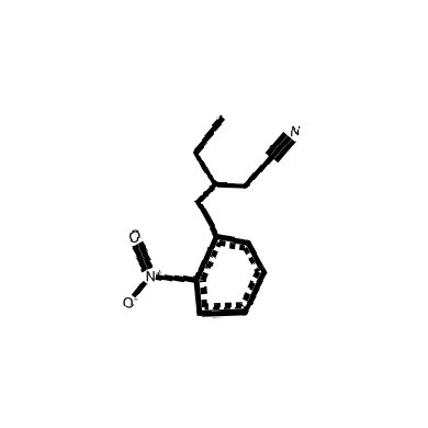 CCC(CC#N)Cc1ccccc1[N+](=O)[O-]